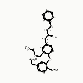 COc1ccc(CC(=O)O)cc1Oc1ccc(NC(=O)NCc2ccccc2)cc1CSCC(F)(F)F